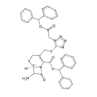 NC1C(=O)N2C(C(=O)OC(c3ccccc3)c3ccccc3)=C(CSc3nnnn3CC(=O)OC(c3ccccc3)c3ccccc3)CS[C@H]12